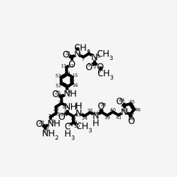 COC(=O)N(C)CCN(C)C(=O)OCc1ccc(NC(=O)C(CCCNC(N)=O)NC(=O)[C@@H](NCCNC(=O)CCCN2C(=O)C=CC2=O)C(C)C)cc1